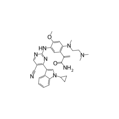 C=C(C(N)=O)c1cc(Nc2ncc(C#N)c(-c3cn(C4CC4)c4ccccc34)n2)c(OC)cc1N(C)CCN(C)C